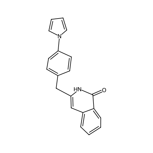 O=c1[nH]c(Cc2ccc(-n3cccc3)cc2)cc2ccccc12